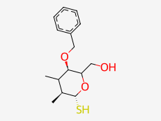 CC1[C@@H](OCc2ccccc2)C(CO)O[C@H](S)[C@H]1C